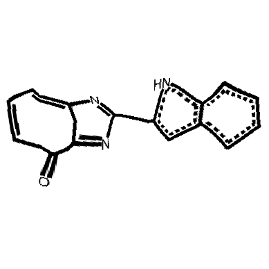 O=C1C=CC=C2N=C(c3cc4ccccc4[nH]3)N=C12